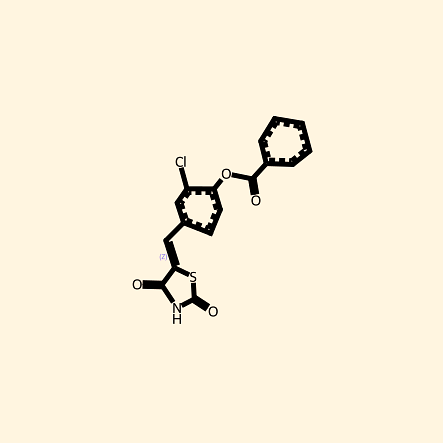 O=C1NC(=O)/C(=C/c2ccc(OC(=O)c3ccccc3)c(Cl)c2)S1